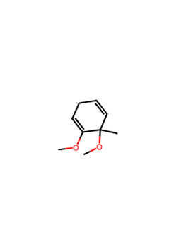 COC1=C[CH]C=CC1(C)OC